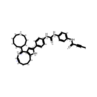 CC#CC(=O)Nc1ccc(NC(=O)Nc2ccc(-c3cc4c([nH]3)CCC/C=C\N=C/4C3CCCCOCCC3)cc2)cc1